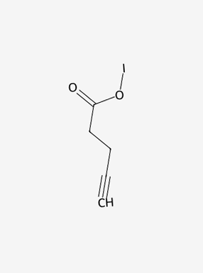 C#CCCC(=O)OI